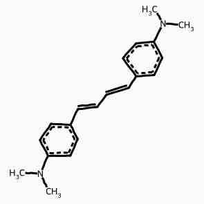 CN(C)c1ccc(/C=C/C=C/c2ccc(N(C)C)cc2)cc1